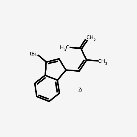 C=C(C)C(C)=CC1C=C(C(C)(C)C)c2ccccc21.[Zr]